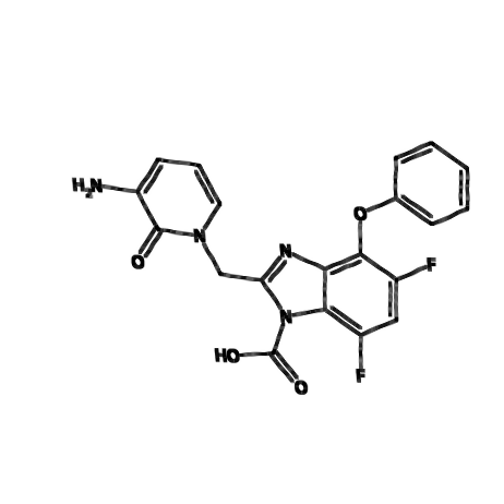 Nc1cccn(Cc2nc3c(Oc4ccccc4)c(F)cc(F)c3n2C(=O)O)c1=O